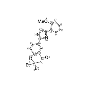 CCC1(CC)CC(=O)c2cc(-c3noc(-c4ccccc4OC)n3)ccc2O1